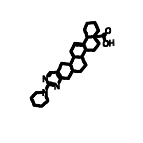 O=C(O)C12CCCCC1C1=CCC3C4Cc5cnc(N6CCCCC6)nc5CC4CCC3C1CC2